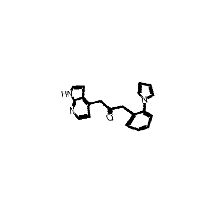 O=C(Cc1ccccc1-n1cccc1)Cc1ccnc2[nH]ccc12